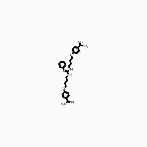 N=C(N)c1ccc(OCCCCNC(=Nc2ccccc2)NCCCCOc2ccc(C(=N)N)cc2)cc1